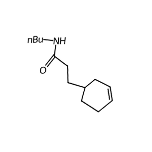 CCCCNC(=O)CCC1CC=CCC1